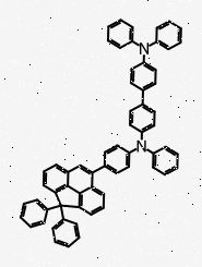 c1ccc(N(c2ccccc2)c2ccc(-c3ccc(N(c4ccccc4)c4ccc(-c5cc6cccc7c6c6c(cccc56)C7(c5ccccc5)c5ccccc5)cc4)cc3)cc2)cc1